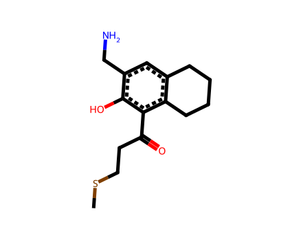 CSCCC(=O)c1c(O)c(CN)cc2c1CCCC2